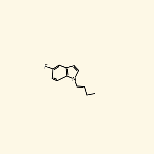 CCC=Cn1ccc2cc(F)ccc21